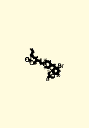 CCCN1CC(CCN2CCC(Cc3cc(OC(C)C)ccc3Br)CC2)COC1=O